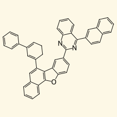 C1=C(c2ccccc2)C=C(c2cc3ccccc3c3oc4ccc(-c5nc(-c6ccc7ccccc7c6)c6ccccc6n5)cc4c23)CC1